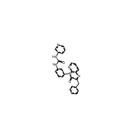 O=C(Nc1cccnc1)Nc1cccc(-n2c(=O)c(Cc3ccccc3)nc3cccnc32)c1